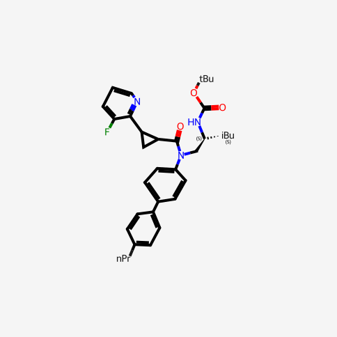 CCCc1ccc(-c2ccc(N(C[C@@H](NC(=O)OC(C)(C)C)[C@@H](C)CC)C(=O)C3CC3c3ncccc3F)cc2)cc1